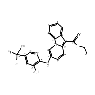 CCOC(=O)c1c2ccccc2n2cc(Oc3ncc(C(F)(F)F)cc3Cl)ccc12